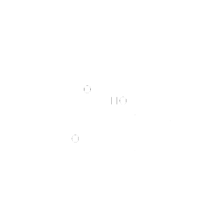 CC1(OC(=O)C2CC3C=CC2C3O)CCCC1